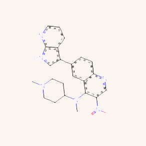 CN1CCC(N(C)c2c([N+](=O)[O-])cnc3ccc(-c4c[nH]c5ncccc45)cc23)CC1